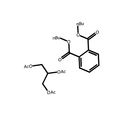 CC(=O)OCC(COC(C)=O)OC(C)=O.CCCCOC(=O)c1ccccc1C(=O)OCCCC